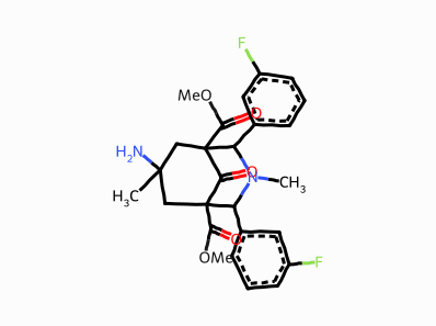 COC(=O)C12CC(C)(N)CC(C(=O)OC)(C1=O)C(c1cccc(F)c1)N(C)C2c1cccc(F)c1